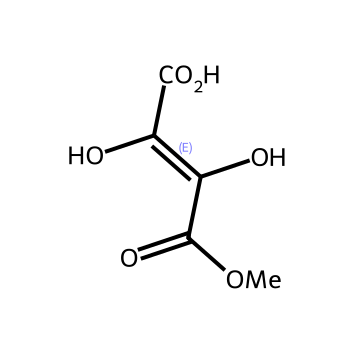 COC(=O)/C(O)=C(\O)C(=O)O